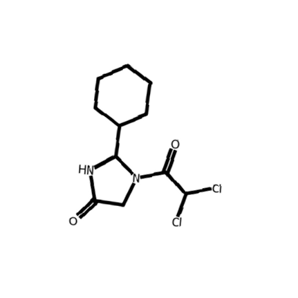 O=C1CN(C(=O)C(Cl)Cl)C(C2CCCCC2)N1